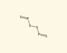 S=PSSP=S